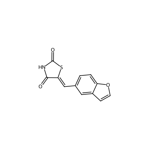 O=C1NC(=O)C(=Cc2ccc3occc3c2)S1